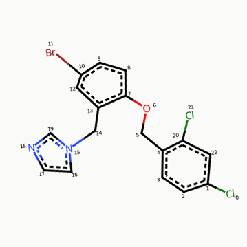 Clc1ccc(COc2ccc(Br)cc2Cn2ccnc2)c(Cl)c1